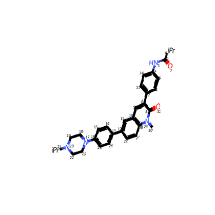 CC(C)C(=O)Nc1ccc(-c2cc3cc(-c4ccc(N5CCN(C(C)C)CC5)cc4)ccc3n(C)c2=O)cc1